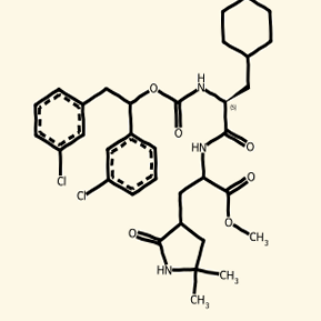 COC(=O)C(CC1CC(C)(C)NC1=O)NC(=O)[C@H](CC1CCCCC1)NC(=O)OC(Cc1cccc(Cl)c1)c1cccc(Cl)c1